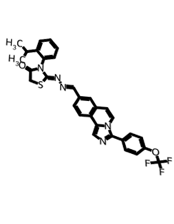 CC(C)c1ccccc1N1C(=O)CS/C1=N\N=C\c1ccc2c(ccn3c(-c4ccc(OC(F)(F)F)cc4)ncc23)c1